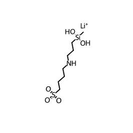 C[Si](O)(O)CCCNCCCCS(=O)(=O)[O-].[Li+]